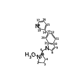 CN1CCC[C@@H]1Cn1ccc2ccc(-c3cccnc3)cc21